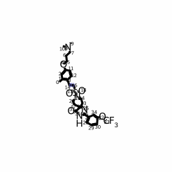 Cc1cc(OCCCN(C)C)ccc1/C=C/S(=O)(=O)N1CCC2(CC1)N=C(c1cccc(OC(F)(F)F)c1)NC2=O